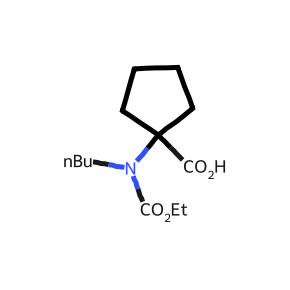 CCCCN(C(=O)OCC)C1(C(=O)O)CCCC1